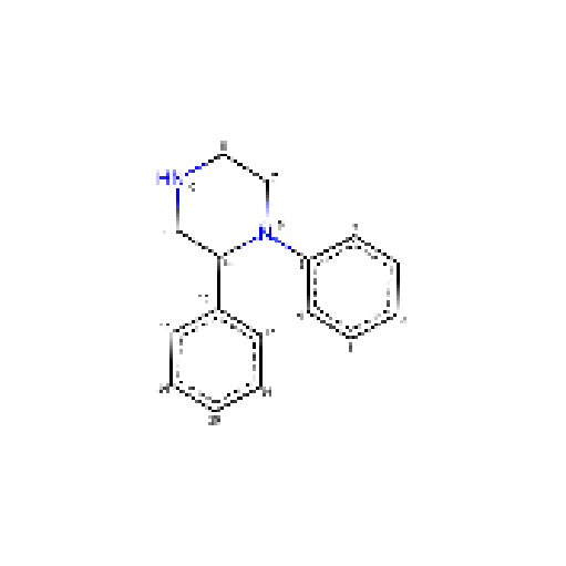 [c]1ccccc1N1CCNCC1c1ccccc1